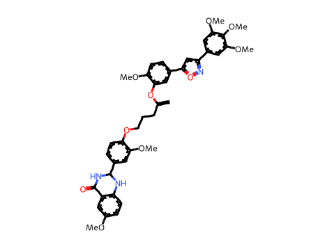 C=C(CCCOc1ccc(C2NC(=O)c3cc(OC)ccc3N2)cc1OC)Oc1cc(-c2cc(-c3cc(OC)c(OC)c(OC)c3)no2)ccc1OC